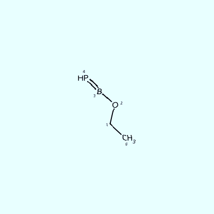 CCOB=P